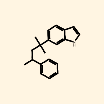 CC(CC(C)(C)c1ccc2cc[nH]c2c1)c1ccccc1